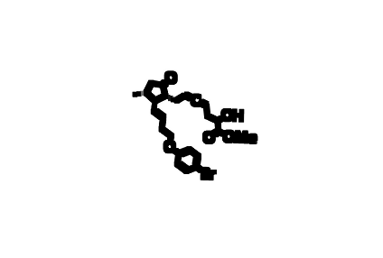 COC(=O)C(O)CC=C=CC[C@H]1C(=O)C[C@@H](C)[C@@H]1/C=C/CCOc1ccc(Br)cc1